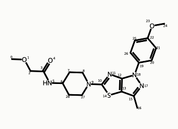 COCC(=O)NC1CCN(c2nc3c(s2)c(C)nn3-c2ccc(OC)cc2)CC1